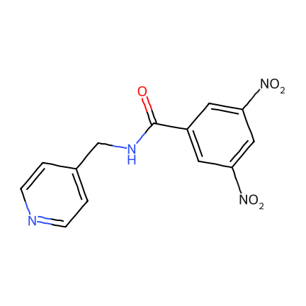 O=C(NCc1ccncc1)c1cc([N+](=O)[O-])cc([N+](=O)[O-])c1